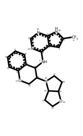 FC(F)(F)c1cc2c(NC3c4ccccc4OCC3N3CCC4OCCC43)ncnc2[nH]1